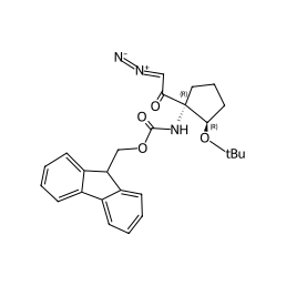 CC(C)(C)O[C@@H]1CCC[C@]1(NC(=O)OCC1c2ccccc2-c2ccccc21)C(=O)C=[N+]=[N-]